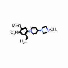 C=Cc1cc([N+](=O)[O-])c(OC)cc1N1CCC(N2CCN(C)CC2)CC1